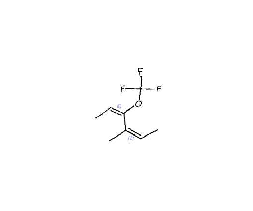 C/C=C(C)\C(=C/C)OC(F)(F)F